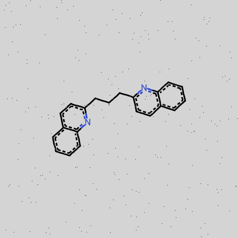 [CH](Cc1ccc2ccccc2n1)Cc1ccc2ccccc2n1